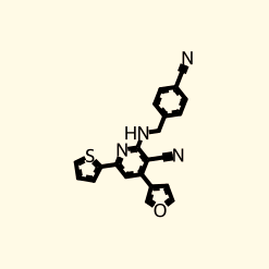 N#Cc1ccc(CNc2nc(-c3cccs3)cc(-c3ccoc3)c2C#N)cc1